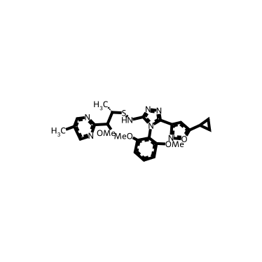 COc1cccc(OC)c1-n1c(NS[C@@H](C)C(OC)c2ncc(C)cn2)nnc1-c1cc(C2CC2)on1